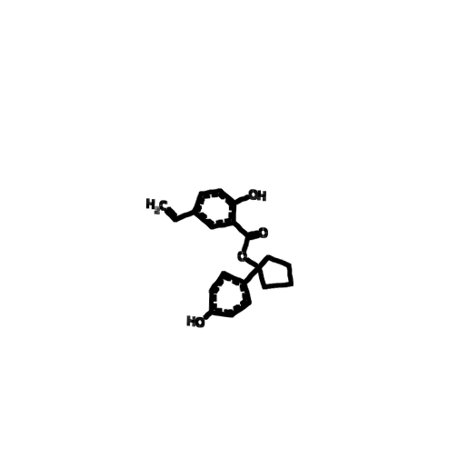 C=Cc1ccc(O)c(C(=O)OC2(c3ccc(O)cc3)CCCC2)c1